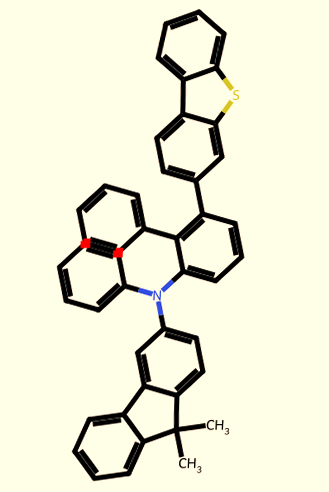 CC1(C)c2ccccc2-c2cc(N(c3ccccc3)c3cccc(-c4ccc5c(c4)sc4ccccc45)c3-c3ccccc3)ccc21